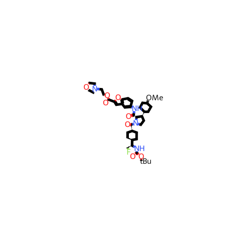 COC1CCC([C@@H]2CCN(C(=O)[C@H]3CC[C@H]([C@@H](CF)NC(=O)OC(C)(C)C)CC3)[C@@H]2C(=O)Nc2ccc3oc(C(=O)OCCN4CCOCC4)cc3c2)CC1